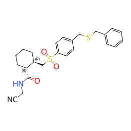 N#CCNC(=O)[C@@H]1CCCC[C@H]1CS(=O)(=O)c1ccc(CSCc2ccccc2)cc1